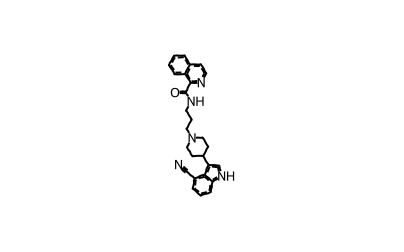 N#Cc1cccc2[nH]cc(C3CCN(CCCNC(=O)c4nccc5ccccc45)CC3)c12